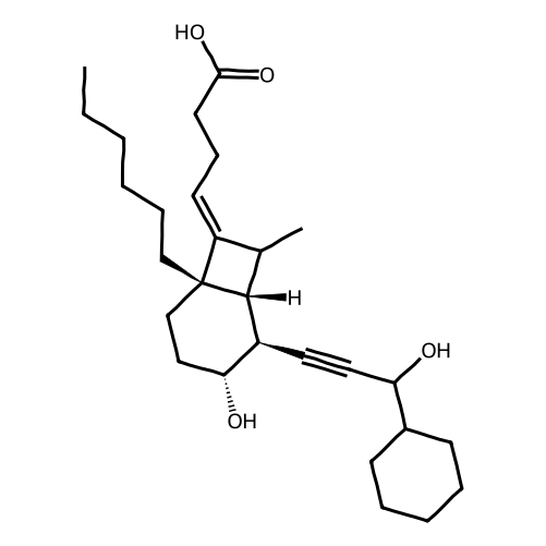 CCCCCC[C@]12CC[C@@H](O)[C@H](C#CC(O)C3CCCCC3)[C@H]1C(C)C2=CCCC(=O)O